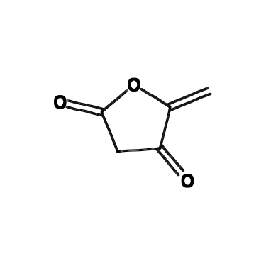 C=C1OC(=O)CC1=O